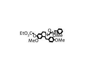 CCOC(=O)COc1cc2c(cc1OC)C(Cc1ccc(OC)c(OC)c1)N(CC(=O)NCc1ccccc1)CC2